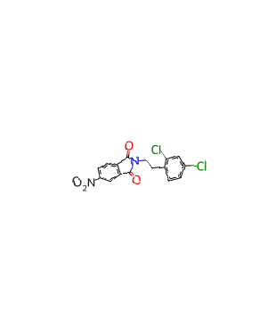 O=C1c2ccc([N+](=O)[O-])cc2C(=O)N1CCc1ccc(Cl)cc1Cl